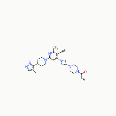 C#Cc1c(N2CC(N3CCN(C(=O)C=C)CC3)C2)cc(N2CCC(c3c(C)cnn3C)CC2)nc1C(F)(F)F